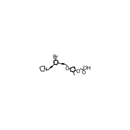 Cc1cc(OCC#Cc2cc(Br)cc(C#CCN3CCCCC3)c2)ccc1OCC(=O)O